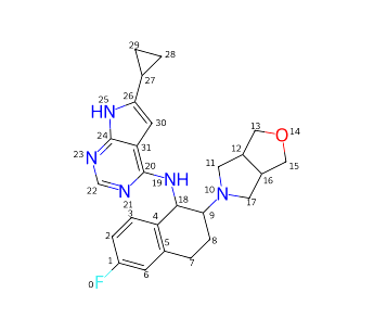 Fc1ccc2c(c1)CCC(N1CC3COCC3C1)C2Nc1ncnc2[nH]c(C3CC3)cc12